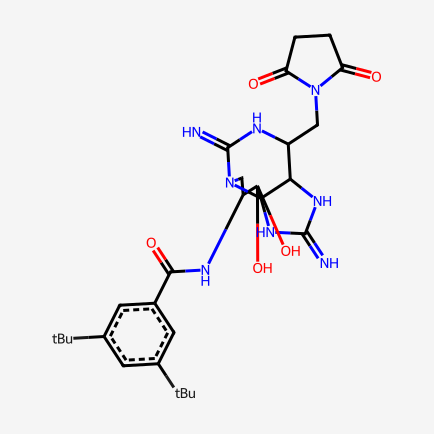 CC(C)(C)c1cc(C(=O)NC2CN3C(=N)NC(CN4C(=O)CCC4=O)C4NC(=N)NC43C2(O)O)cc(C(C)(C)C)c1